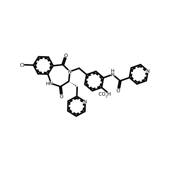 O=C(Nc1cc(CN2C(=O)c3ccc(Cl)cc3NC(=O)[C@H]2Cc2ccccn2)ccc1C(=O)O)c1ccncc1